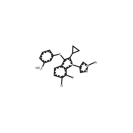 CC(C)n1cc(-n2c(C3CC3)c(Sc3cccc(C(=O)O)c3)c3ccc(Cl)c(F)c32)cn1